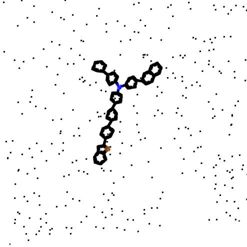 c1ccc(-c2ccc(N(c3ccc(-c4ccc(-c5ccc(-c6cc7ccccc7s6)cc5)cc4)cc3)c3ccc(-c4ccc5ccccc5c4)cc3)cc2)cc1